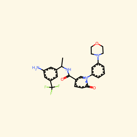 CC(NC(=O)c1ccc(=O)n(-c2cccc(N3CCOCC3)c2)c1)c1cc(N)cc(C(F)(F)F)c1